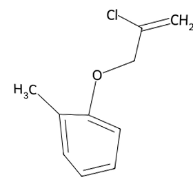 C=C(Cl)COc1ccccc1C